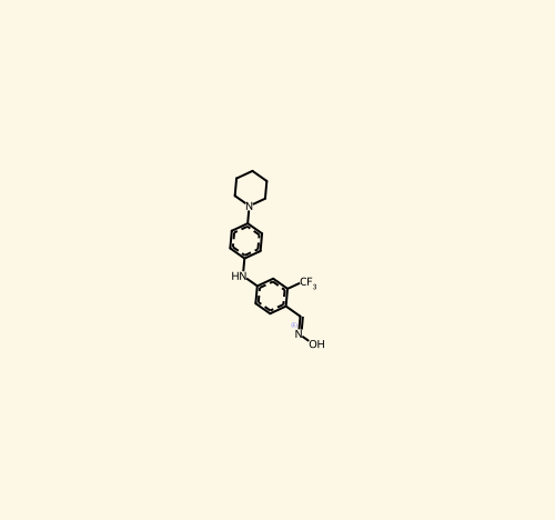 O/N=C/c1ccc(Nc2ccc(N3CCCCC3)cc2)cc1C(F)(F)F